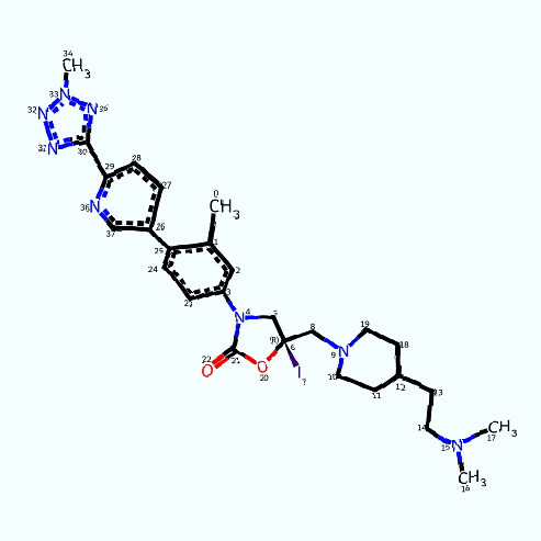 Cc1cc(N2C[C@](I)(CN3CCC(CCN(C)C)CC3)OC2=O)ccc1-c1ccc(-c2nnn(C)n2)nc1